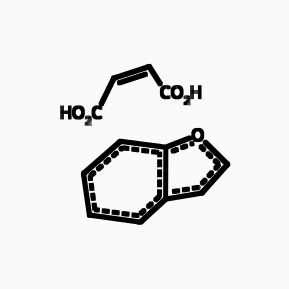 O=C(O)/C=C\C(=O)O.c1ccc2occc2c1